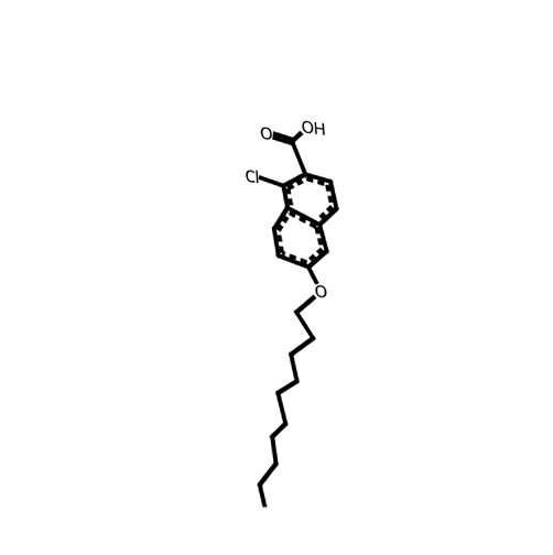 CCCCCCCCCCOc1ccc2c(Cl)c(C(=O)O)ccc2c1